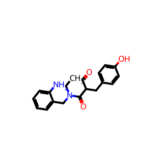 CCN(Cc1ccccc1N)C(=O)C(C=O)Cc1ccc(O)cc1